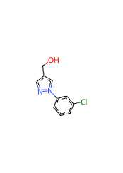 OCc1cnn(-c2cccc(Cl)c2)c1